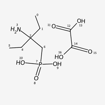 CCC(N)(CC)CP(=O)(O)O.O=C(O)C(=O)O